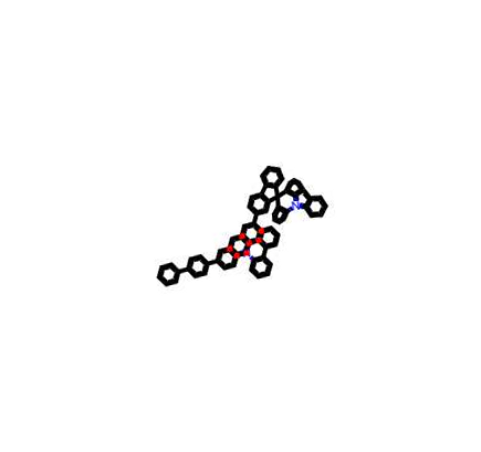 c1ccc(-c2ccc(-c3ccc(N(c4ccc(-c5ccc6c(c5)C5(c7ccccc7-6)c6ccccc6-n6c7ccccc7c7cccc5c76)cc4)c4ccccc4-c4ccccc4-c4ccccc4)cc3)cc2)cc1